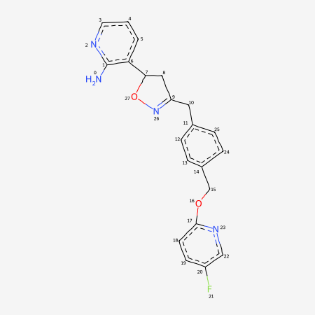 Nc1ncccc1C1CC(Cc2ccc(COc3ccc(F)cn3)cc2)=NO1